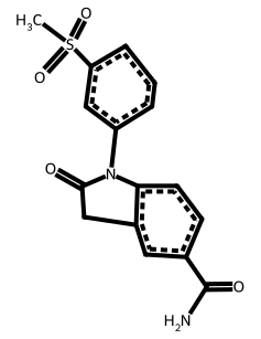 CS(=O)(=O)c1cccc(N2C(=O)Cc3cc(C(N)=O)ccc32)c1